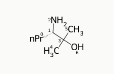 CCC[C@H](N)C(C)(C)O